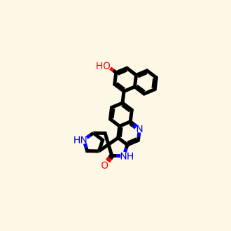 O=C1Nc2cnc3cc(-c4cc(O)cc5ccccc45)ccc3c2C12CC1CC2CN1